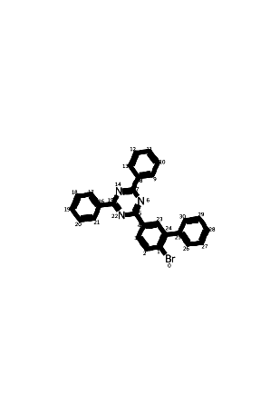 Brc1ccc(-c2nc(-c3ccccc3)nc(-c3ccccc3)n2)cc1-c1ccccc1